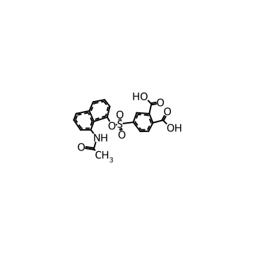 CC(=O)Nc1cccc2cccc(OS(=O)(=O)c3ccc(C(=O)O)c(C(=O)O)c3)c12